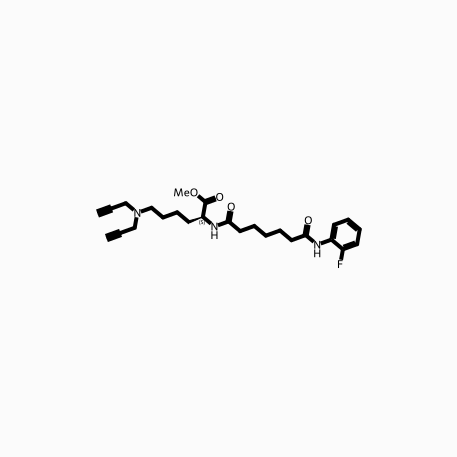 C#CCN(CC#C)CCCC[C@H](NC(=O)CCCCCC(=O)Nc1ccccc1F)C(=O)OC